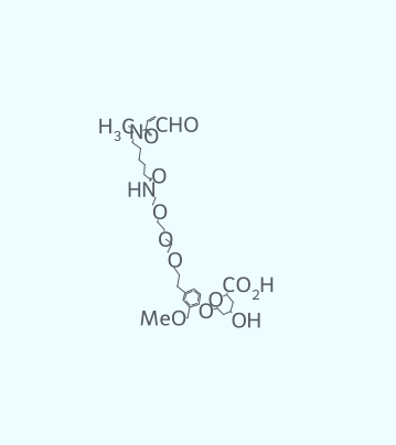 COCc1cc(CCCOCCOCCOCCNC(=O)CCCCCN(C)C(=O)/C=C\C=O)ccc1OC1CC(O)CC(C(=O)O)O1